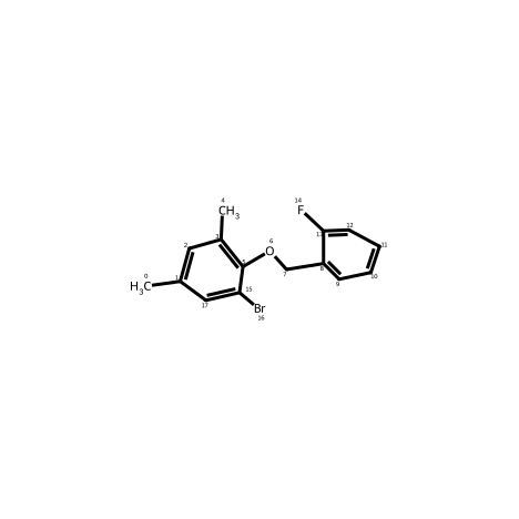 Cc1cc(C)c(OCc2ccccc2F)c(Br)c1